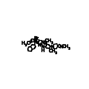 COc1cc(N2CCC3(CC2)CN(C)C3)c(C)cc1Nc1ncc(Br)c(Nc2ccc3ccccc3c2P(C)C)n1